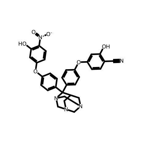 N#Cc1ccc(Oc2ccc(C3(c4ccc(Oc5ccc([N+](=O)[O-])c(O)c5)cc4)C4CN5CN(C4)CN3C5)cc2)cc1O